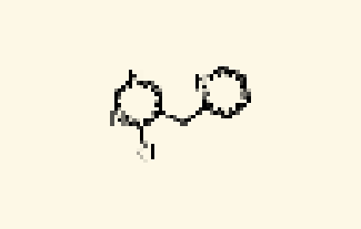 Clc1ncncc1Cc1ccccn1